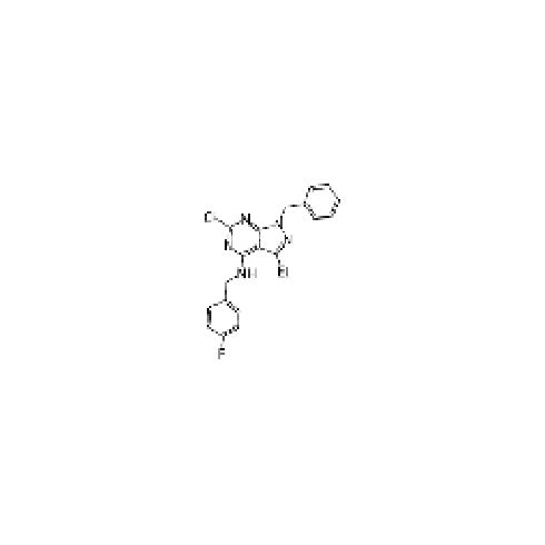 CCc1nn(Cc2ccccc2)c2nc(Cl)nc(NCc3ccc(F)cc3)c12